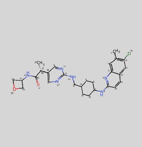 Cc1cc2nc(NC3CCC(CNc4ncc([C@@H](C)C(=O)NC5COC5)cn4)CC3)ccc2cc1Cl